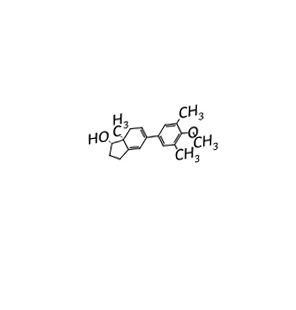 COc1c(C)cc(C2=CC[C@@]3(C)C(=C2)CC[C@@H]3O)cc1C